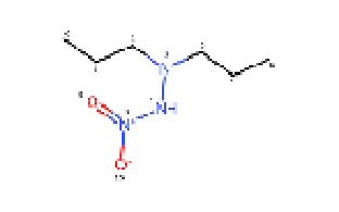 CCCN(CCC)N[N+](=O)[O-]